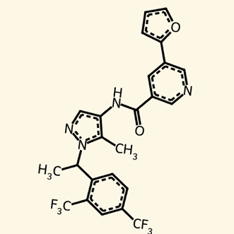 Cc1c(NC(=O)c2cncc(-c3ccco3)c2)cnn1C(C)c1ccc(C(F)(F)F)cc1C(F)(F)F